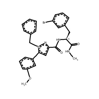 CNC(=O)[C@H](Cc1cccc(Br)c1)NC(=O)c1cc(-c2cccc(OC)c2)n(Cc2ccccc2)n1